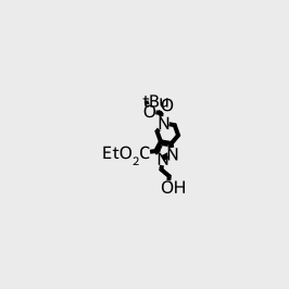 CCOC(=O)c1c2c(nn1CCO)CCN(C(=O)OC(C)(C)C)C2